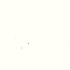 COc1cccc(Oc2nn(C)c(=O)c3c(-c4ccncc4)csc23)c1